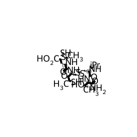 CC(C)N[C@@H](CSSC[C@H](NC(=O)[C@H](CCC(=O)O)NC(C)SS)C(=O)C(C)S)C(=O)N[C@H](C(N)=O)[C@@H](C)O